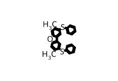 Cc1cc2oc3cc(C)c(Sc4ccccc4)cc3c2cc1Sc1ccccc1